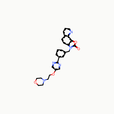 O=c1oc2c3ncccc3ccc2n1Cc1cccc(-c2ncc(OCCN3CCOCC3)cn2)c1